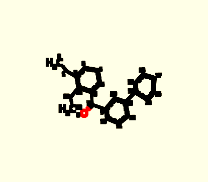 CCc1cccc(C(=O)c2cccc(-c3ccccc3)c2)c1CC